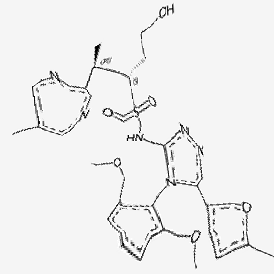 COc1cccc(OC)c1-n1c(NS(=O)(=O)[C@@H](CCO)[C@H](C)c2ncc(C)cn2)nnc1-c1ccc(C)o1